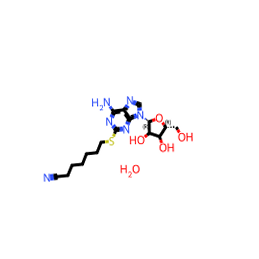 N#CCCCCCCSc1nc(N)c2ncn([C@@H]3O[C@H](CO)C(O)C3O)c2n1.O